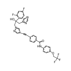 O=C(Nc1ccc(OCC(F)(F)F)cc1)c1ccc(C#Cc2cnn(CC(O)(Cn3cncn3)c3ccc(F)cc3F)c2)cc1